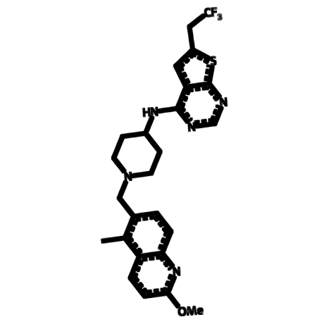 COc1ccc2c(C)c(CN3CCC(Nc4ncnc5sc(CC(F)(F)F)cc45)CC3)ccc2n1